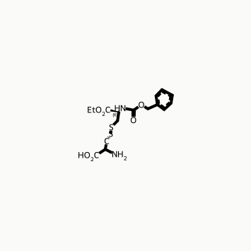 CCOC(=O)[C@H](CSSCC(N)C(=O)O)NC(=O)OCc1ccccc1